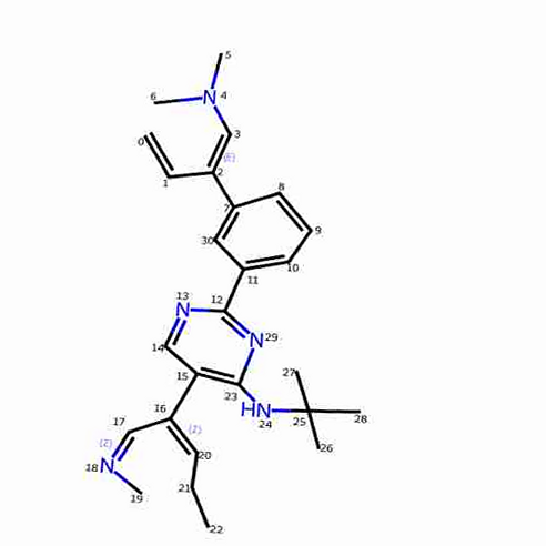 C=C/C(=C\N(C)C)c1cccc(-c2ncc(C(/C=N\C)=C/CC)c(NC(C)(C)C)n2)c1